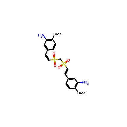 COc1ccc(C=CS(=O)(=O)CS(=O)(=O)/C=C\c2ccc(OC)c(N)c2)cc1N